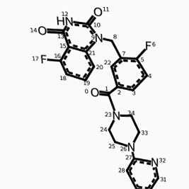 O=C(c1ccc(F)c(Cn2c(=O)[nH]c(=O)c3c(F)cccc32)c1)N1CCN(c2ccccn2)CC1